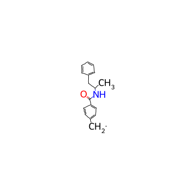 [CH2]c1ccc(C(=O)NC(C)Cc2ccccc2)cc1